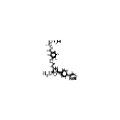 Cc1oc(-c2ccc(-c3csnn3)cc2)nc1CCOc1cccc(CSCC(=O)O)c1